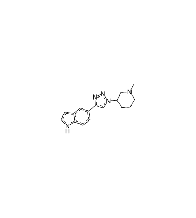 CN1CCCC(n2cc(-c3ccc4[nH]ccc4c3)nn2)C1